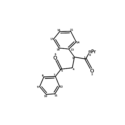 CCCC(=O)C(CC(=O)c1ccccc1)c1ccccc1